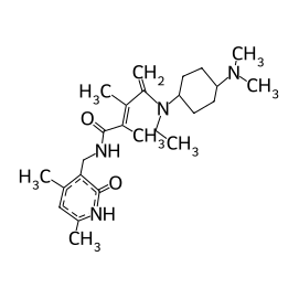 C=C(/C(C)=C(\C)C(=O)NCc1c(C)cc(C)[nH]c1=O)N(CC)C1CCC(N(C)C)CC1